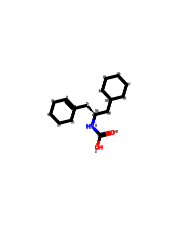 O=C(O)N[C@H](CC1=CCCCC1)CC1CCCCC1